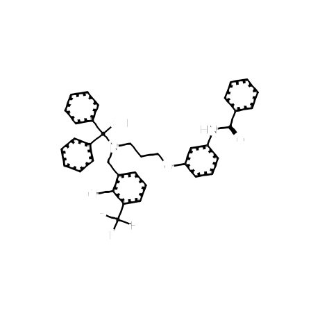 CC(c1ccccc1)(c1ccccc1)N(CCCOc1cccc(NC(=O)c2ccccc2)c1)Cc1cccc(C(F)(F)F)c1Cl